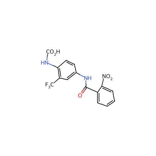 O=C(O)Nc1ccc(NC(=O)c2ccccc2[N+](=O)[O-])cc1C(F)(F)F